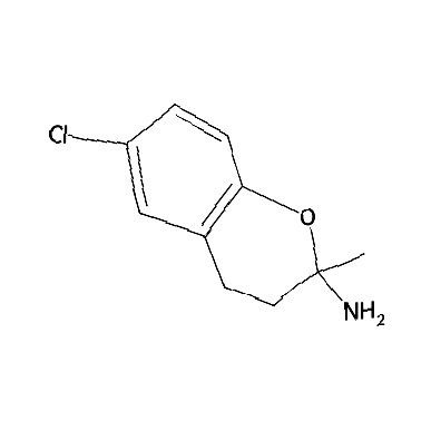 CC1(N)CCc2cc(Cl)ccc2O1